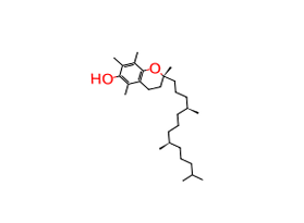 Cc1c(C)c2c(c(C)c1O)CC[C@@](C)(CCC[C@@H](C)CCC[C@H](C)CCCC(C)C)O2